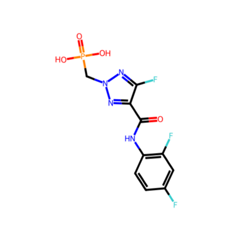 O=C(Nc1ccc(F)cc1F)c1nn(CP(=O)(O)O)nc1F